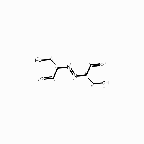 O=C[C@H](CO)/N=N/[C@H](C=O)CO